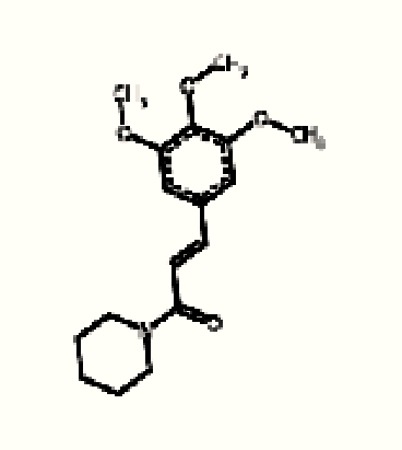 COc1cc(/C=C/C(=O)N2CCCCC2)cc(OC)c1OC